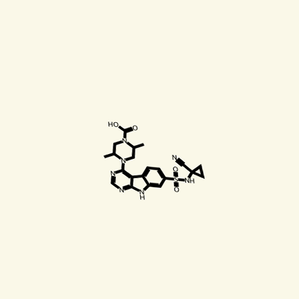 CC1CN(c2ncnc3[nH]c4cc(S(=O)(=O)NC5(C#N)CC5)ccc4c23)C(C)CN1C(=O)O